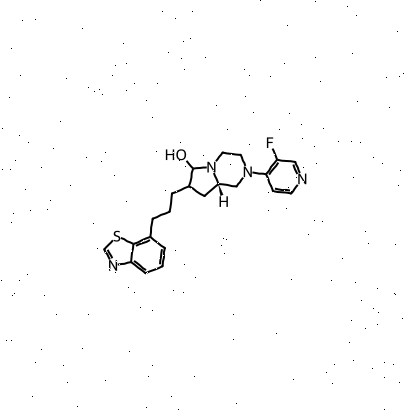 OC1C(CCCc2cccc3ncsc23)C[C@H]2CN(c3ccncc3F)CCN12